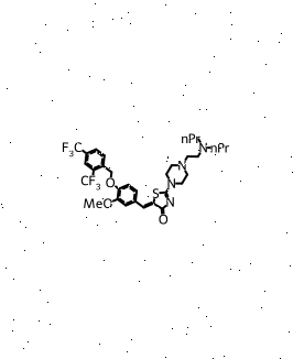 CCCN(CCC)CCN1CCN(C2=NC(=O)C(=Cc3ccc(OCc4ccc(C(F)(F)F)cc4C(F)(F)F)c(OC)c3)S2)CC1